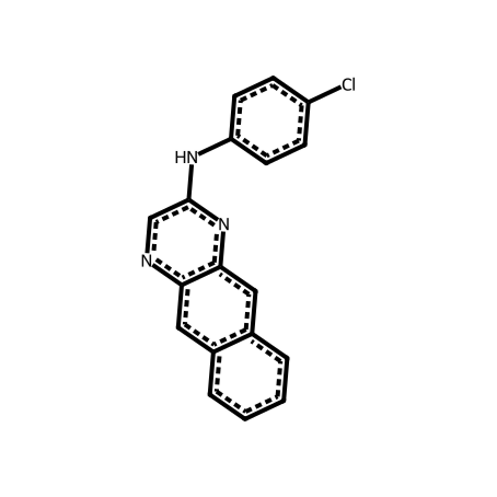 Clc1ccc(Nc2cnc3cc4ccccc4cc3n2)cc1